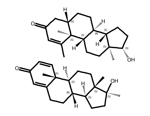 CC1=CC(=O)C[C@@H]2CC[C@H]3[C@@H]4CC[C@H](O)[C@@]4(C)CC[C@@H]3[C@@]12C.C[C@]12C=CC(=O)C=C1CC[C@@H]1[C@@H]2CC[C@@]2(C)[C@H]1CC[C@]2(C)O